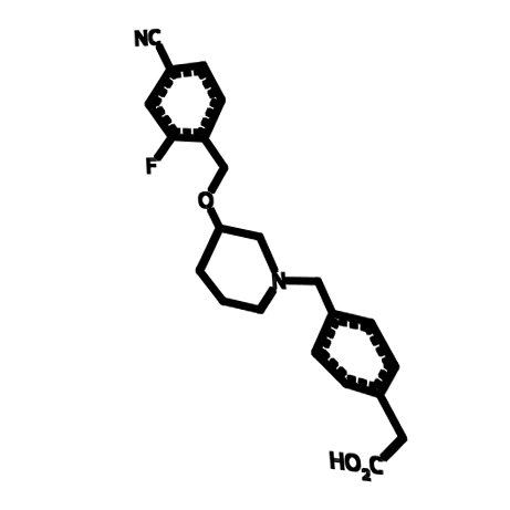 N#Cc1ccc(COC2CCCN(Cc3ccc(CC(=O)O)cc3)C2)c(F)c1